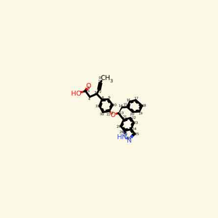 CC#CC(CC(=O)O)c1ccc(O[C@@H](Cc2ccccc2)c2ccc3cn[nH]c3c2)cc1